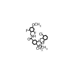 COc1cc(F)c(CNC(=O)c2ccc3c(c2)N(Cc2c(F)cccc2Cl)C(=O)N(C)[C@H]3C)c(F)c1